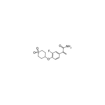 C=C(C(N)=O)c1ccc(OC2CCS(=O)(=O)CC2)c(F)c1